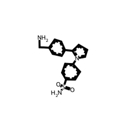 NCc1ccc(-c2cccn2-c2ccc(S(N)(=O)=O)cc2)cc1